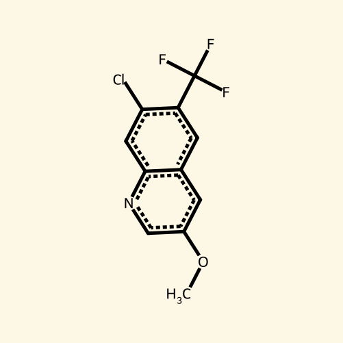 COc1cnc2cc(Cl)c(C(F)(F)F)cc2c1